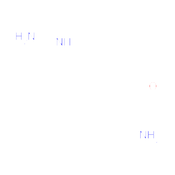 NNCCCC(N)=O